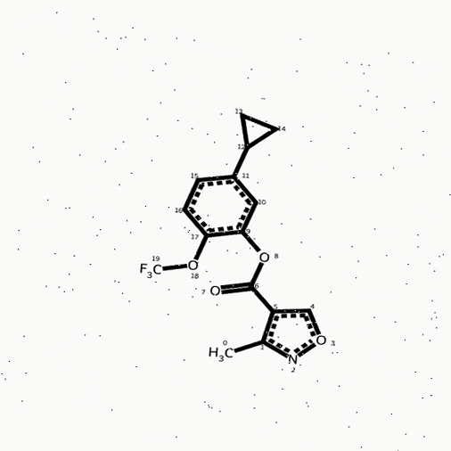 Cc1nocc1C(=O)Oc1cc(C2CC2)ccc1OC(F)(F)F